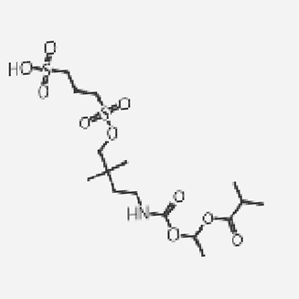 CC(OC(=O)NCCC(C)(C)COS(=O)(=O)CCCS(=O)(=O)O)OC(=O)C(C)C